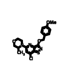 COc1ccc(COc2nsc3c(Cl)cc(N4CCOCC4C)nc23)cc1